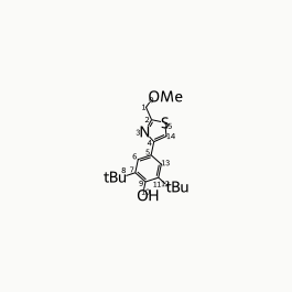 COCc1nc(-c2cc(C(C)(C)C)c(O)c(C(C)(C)C)c2)cs1